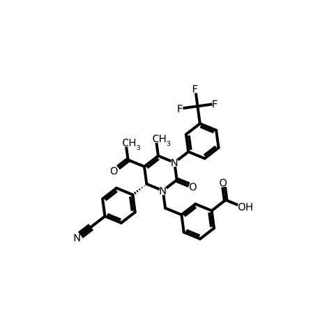 CC(=O)C1=C(C)N(c2cccc(C(F)(F)F)c2)C(=O)N(Cc2cccc(C(=O)O)c2)[C@@H]1c1ccc(C#N)cc1